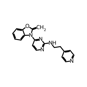 C=C1Oc2ccccc2N1c1ccnc(NCCc2ccncc2)n1